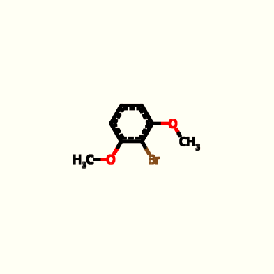 COc1cccc(OC)c1Br